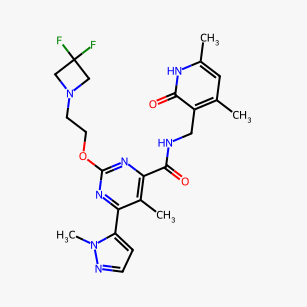 Cc1cc(C)c(CNC(=O)c2nc(OCCN3CC(F)(F)C3)nc(-c3ccnn3C)c2C)c(=O)[nH]1